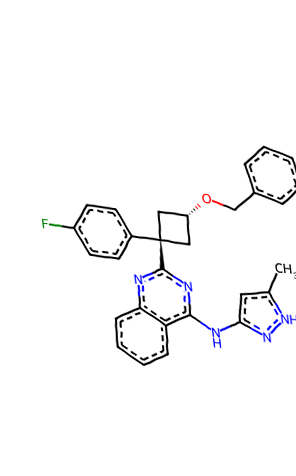 Cc1cc(Nc2nc([C@]3(c4ccc(F)cc4)C[C@@H](OCc4ccccc4)C3)nc3ccccc23)n[nH]1